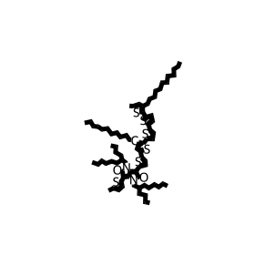 CCCCCCCCCCCCc1cc(C)sc1-c1ccc(-c2ccc(-c3sc(-c4ccc(C5=C6C(=C(c7ccc(C)s7)C(=O)N6CC(CCCC)CCCCCC)N(CC(CCCC)CCCCCC)C5=O)s4)cc3CCCCCCCCCCCC)s2)s1